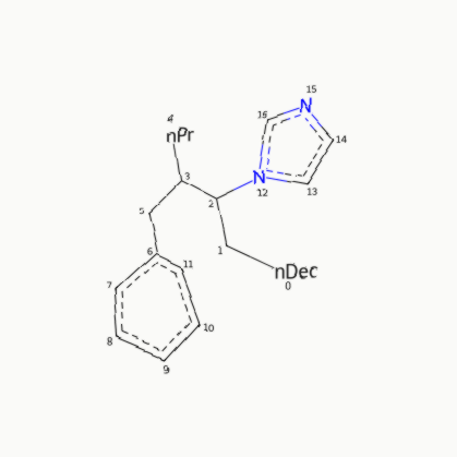 CCCCCCCCCCCC(C(CCC)Cc1ccccc1)n1ccnc1